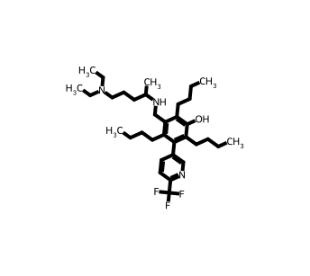 CCCCc1c(O)c(CCCC)c(-c2ccc(C(F)(F)F)nc2)c(CCCC)c1CNC(C)CCCN(CC)CC